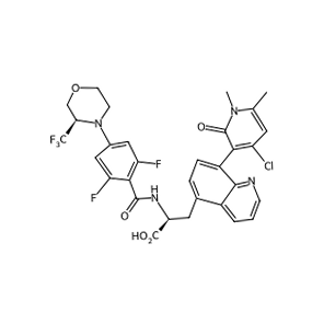 Cc1cc(Cl)c(-c2ccc(C[C@H](NC(=O)c3c(F)cc(N4CCOC[C@@H]4C(F)(F)F)cc3F)C(=O)O)c3cccnc23)c(=O)n1C